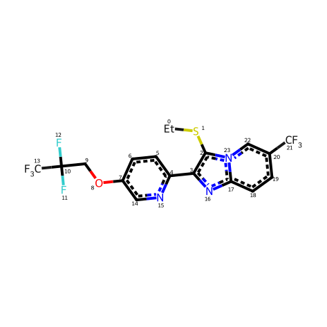 CCSc1c(-c2ccc(OCC(F)(F)C(F)(F)F)cn2)nc2ccc(C(F)(F)F)cn12